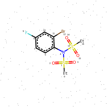 CCS(=O)(=O)N(c1ccc(F)cc1Br)S(=O)(=O)CC